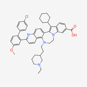 CCN1CCCC(CCN2CCn3c(c(C4CCCCC4)c4ccc(C(=O)O)cc43)-c3ccc4nc(-c5cc(OC)ccc5-c5ccc(Cl)cc5)ccc4c32)C1